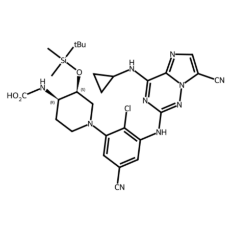 CC(C)(C)[Si](C)(C)O[C@H]1CN(c2cc(C#N)cc(Nc3nc(NC4CC4)c4ncc(C#N)n4n3)c2Cl)CC[C@H]1NC(=O)O